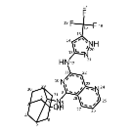 OC12CC3CC(C1)C(Nc1nc(Nc4cc(C(F)(F)F)[nH]n4)cc4ncccc14)C(C3)C2